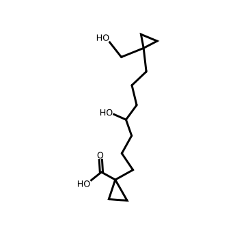 O=C(O)C1(CCCC(O)CCCC2(CO)CC2)CC1